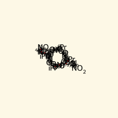 Cc1nn(Cc2ccc(C[C@H]3OC(=O)[C@H](CC(C)C)N(C)C(=O)[C@@H](C)OC(=O)[C@H](CC(C)C)N(C)C(=O)[C@@H](Cc4ccc(Cn5nc(C)c([N+](=O)[O-])c5C)cc4)OC(=O)[C@H](CC(C)C)N(C)C(=O)[C@@H](C)OC(=O)[C@H](CC(C)C)N(C)C3=O)cc2)c(C)c1[N+](=O)[O-]